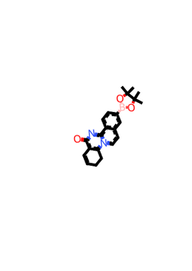 CC1(C)OB(c2ccc3c(ccn4c5c(c(=O)nc34)C=CCC5)c2)OC1(C)C